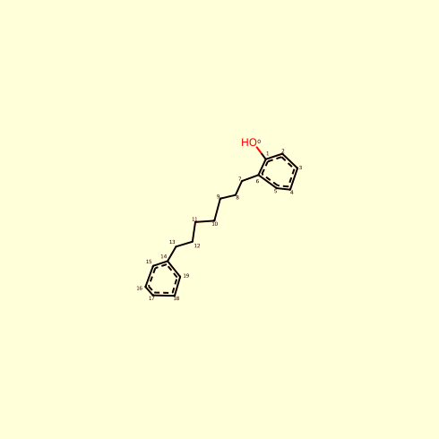 Oc1ccccc1CCCCCCCc1ccccc1